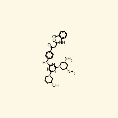 N[C@@H]1C[C@H](N)CN(c2nc(Nc3ccc(C(=O)CC(=O)Nc4ccccc4Cl)cc3)nc(N3CCCC(O)C3)n2)C1